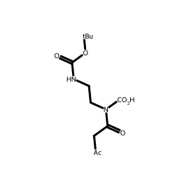 CC(=O)CC(=O)N(CCNC(=O)OC(C)(C)C)C(=O)O